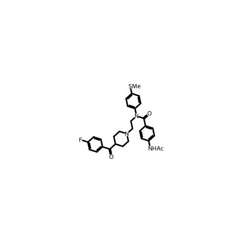 CSc1ccc(N(CCN2CCC(C(=O)c3ccc(F)cc3)CC2)C(=O)c2ccc(NC(C)=O)cc2)cc1